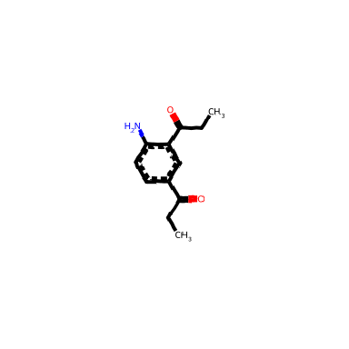 CCC(=O)c1ccc(N)c(C(=O)CC)c1